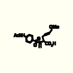 COCC#CCC(NS(=O)(=O)c1ccc(NC(C)=O)cc1)C(=O)O